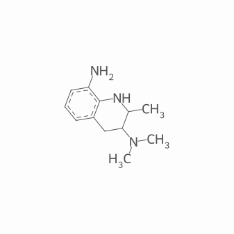 CC1Nc2c(N)cccc2CC1N(C)C